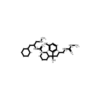 CNCC(CC1CCCCC1)NC(=O)N1CCCC(C(O)(CCCNC(=O)NC)c2cccc(Cl)c2)C1